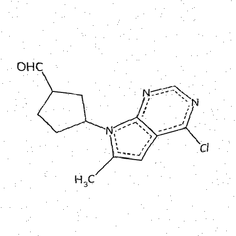 Cc1cc2c(Cl)ncnc2n1C1CCC(C=O)C1